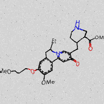 CCC1Cc2cc(OCCCOC)c(OC)cc2-c2cc(=O)c(CC3CCNCC3C(=O)OC)cn21